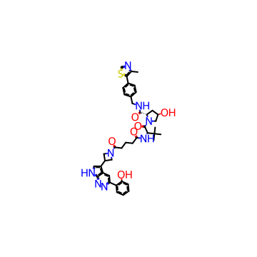 Cc1ncsc1-c1ccc(CNC(=O)[C@@H]2C[C@@H](O)CN2C(=O)[C@@H](NC(=O)CCCC(=O)N2CC(c3c[nH]c4nnc(-c5ccccc5O)cc34)C2)C(C)(C)C)cc1